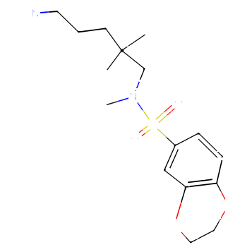 CCN(CC(C)(C)CCCN)S(=O)(=O)c1ccc2c(c1)OCCO2